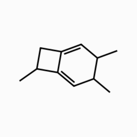 CC1CC2=CC(C)C(C)C=C21